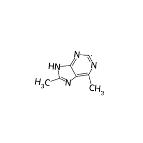 Cc1nc2c(C)n[c]nc2[nH]1